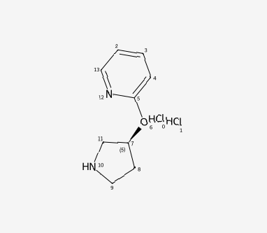 Cl.Cl.c1ccc(O[C@H]2CCNC2)nc1